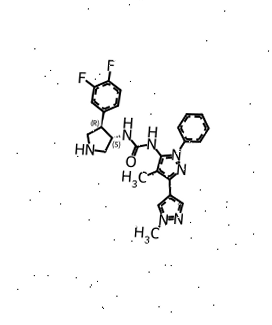 Cc1c(-c2cnn(C)c2)nn(-c2ccccc2)c1NC(=O)N[C@@H]1CNC[C@H]1c1ccc(F)c(F)c1